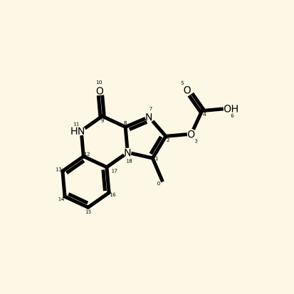 Cc1c(OC(=O)O)nc2c(=O)[nH]c3ccccc3n12